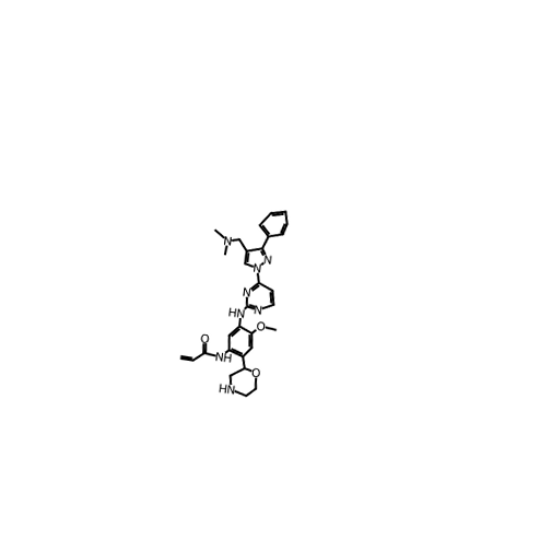 C=CC(=O)Nc1cc(Nc2nccc(-n3cc(CN(C)C)c(-c4ccccc4)n3)n2)c(OC)cc1C1CNCCO1